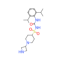 CC(C)c1cccc(C(C)C)c1NC(=O)NS(=O)(=O)C1CCN(C2CNC2)CC1